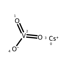 [Cs+].[O]=[V](=[O])[O-]